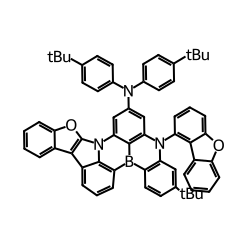 CC(C)(C)c1ccc(N(c2ccc(C(C)(C)C)cc2)c2cc3c4c(c2)-n2c5oc6ccccc6c5c5cccc(c52)B4c2ccc(C(C)(C)C)cc2N3c2cccc3oc4ccccc4c23)cc1